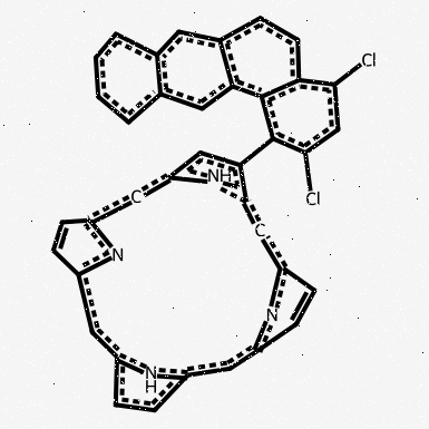 Clc1cc(Cl)c2ccc3cc4ccccc4cc3c2c1-c1cc2cc3nc(cc4ccc(cc5nc(cc1[nH]2)C=C5)[nH]4)C=C3